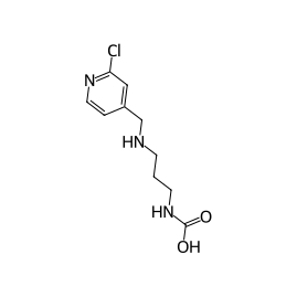 O=C(O)NCCCNCc1ccnc(Cl)c1